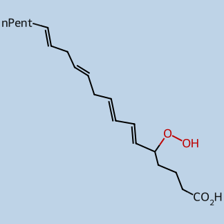 CCCCC/C=C/C/C=C/C/C=C/C=C/C(CCCC(=O)O)OO